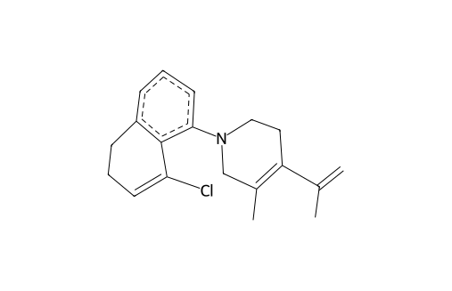 C=C(C)C1=C(C)CN(c2cccc3c2C(Cl)=CCC3)CC1